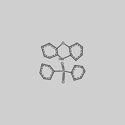 O=S(=O)(c1ccccc1)c1ccccc1.c1ccc2c(c1)Nc1ccccc1O2